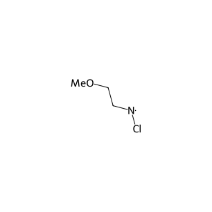 COCC[N]Cl